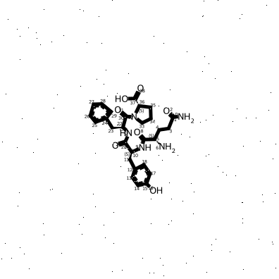 NC(=O)CC[C@H](N)C(=O)N[C@@H](Cc1ccc(O)cc1)C(=O)N[C@@H](Cc1ccccc1)C(=O)N1CCC[C@H]1C(=O)O